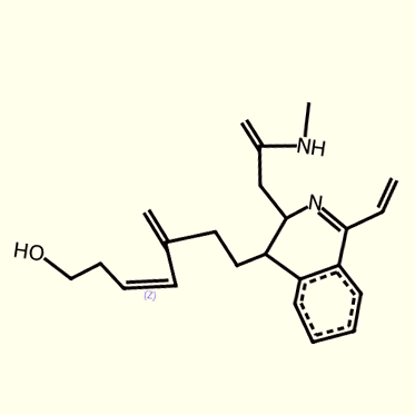 C=CC1=NC(CC(=C)NC)C(CCC(=C)/C=C\CCO)c2ccccc21